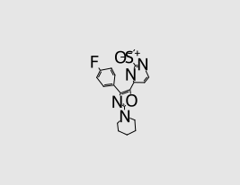 C[S+]([O-])c1nccc(-c2oc(N3CCCCC3)nc2-c2ccc(F)cc2)n1